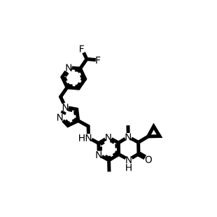 Cc1nc(NCc2cnn(Cc3ccc(C(F)F)nc3)c2)nc2c1NC(=O)C(C1CC1)N2C